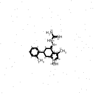 Cc1ccccc1C1CC(=NNC(=N)N)c2c(C)c[nH]c2C1.Cl